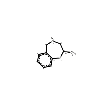 C[C@@H]1CNCc2ccccc2O1